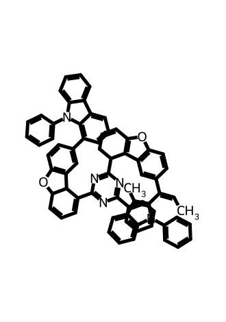 C/C=C(/c1ccc2oc3c(c2c1)C(c1nc(C2=CC=CC4Oc5ccc(-c6cccc7c8ccccc8n(-c8ccccc8)c67)cc5C24)nc(-c2ccccc2)n1)CC=C3)c1c(C)c2ccccc2n1-c1ccccc1